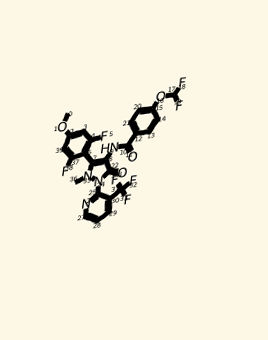 COc1cc(F)c(-c2c(NC(=O)c3ccc(OC(F)F)cc3)c(=O)n(-c3ncccc3C(F)(F)F)n2C)c(F)c1